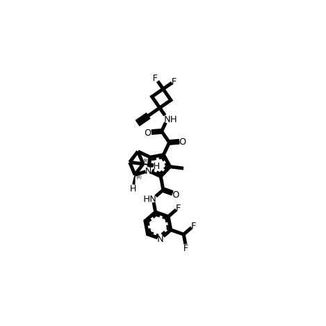 C#CC1(NC(=O)C(=O)c2c(C)c(C(=O)Nc3ccnc(C(F)F)c3F)n3c2C2C4[C@H]2[C@@H]43)CC(F)(F)C1